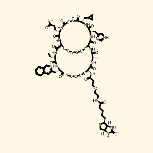 CC[C@@H]1NC(=O)[C@H]2CCSSCCC(NC(=O)[C@H](C)NC(=O)[C@H](NC(=O)CCOCCNC(=O)CCCC[C@@H]3SC[C@@H]4NC(=O)N[C@@H]43)CCCCNC(=O)[C@H](Cc3cc4ccccc4cn3)NC1=O)C(=O)N[C@@H](Cc1c[nH]cn1)C(=O)N[C@@H](CC1CC1)C(=O)NCC(=O)N[C@@H](CCC(=O)O)C(=O)N2